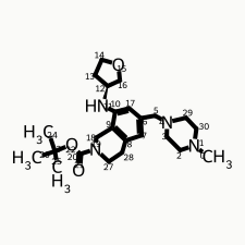 CN1CCN(Cc2cc3c(c(N[C@H]4CCOC4)c2)CN(C(=O)OC(C)(C)C)CC3)CC1